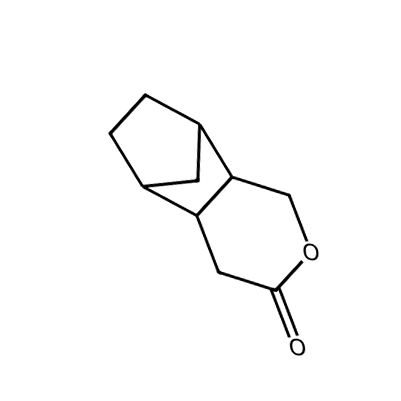 O=C1CC2C3CCC(C3)C2CO1